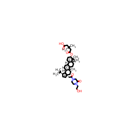 C=C(C)[C@@H]1CC[C@]2(CC(=O)N3CCN(CCO)C(=O)C3)CC[C@]3(C)[C@H](CC[C@@H]4[C@@]5(C)CC[C@H](OC(=O)CC(C)(C)CC(=O)O)C(C)(C)[C@@H]5CC[C@]43C)[C@@H]12